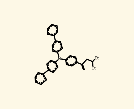 C=C(CC(CC)CC)c1ccc(N(c2ccc(-c3ccccc3)cc2)c2ccc(-c3ccccc3)cc2)cc1